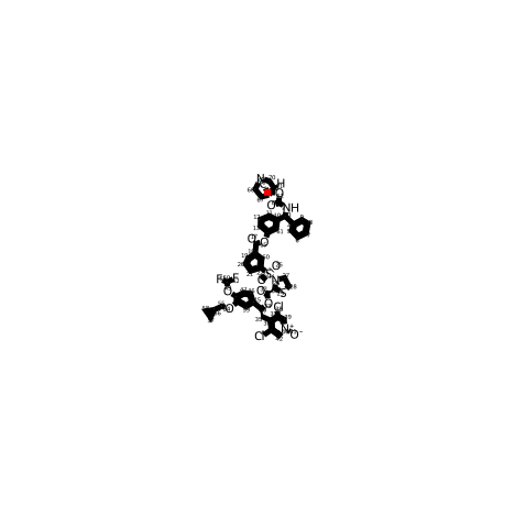 O=C(NC(c1ccccc1)c1cccc(OC(=O)c2cccc(S(=O)(=O)N3CCS[C@H]3C(=O)O[C@@H](Cc3c(Cl)c[n+]([O-])cc3Cl)c3ccc(OC(F)F)c(OCC4CC4)c3)c2)c1)O[C@H]1CN2CCC1CC2